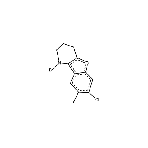 Fc1cc2c3n(nc2cc1Cl)CCCN3Br